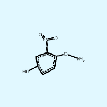 NOc1ccc(O)cc1[SH](=O)=O